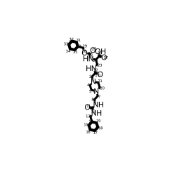 O=C(CN1CCN(CCNC(=O)NCc2ccccc2)CC1)NCC(NC(=O)OCc1ccccc1)C(=O)O